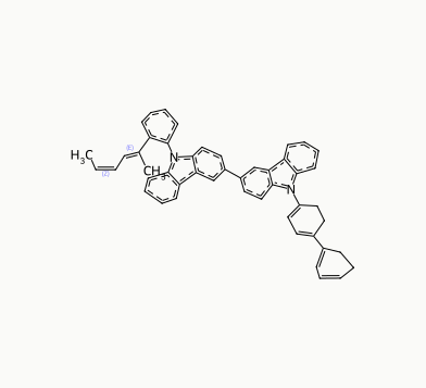 C/C=C\C=C(/C)c1ccccc1-n1c2ccccc2c2cc(-c3ccc4c(c3)c3ccccc3n4C3=CC=C(C4=CC=CCC4)CC3)ccc21